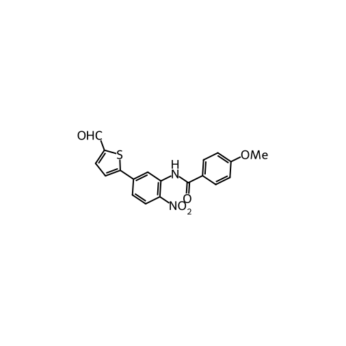 COc1ccc(C(=O)Nc2cc(-c3ccc(C=O)s3)ccc2[N+](=O)[O-])cc1